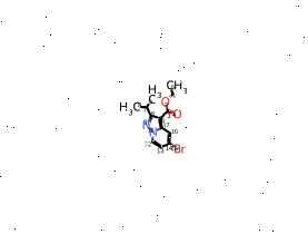 CCOC(=O)c1c(C(C)C)nn2ccc(Br)cc12